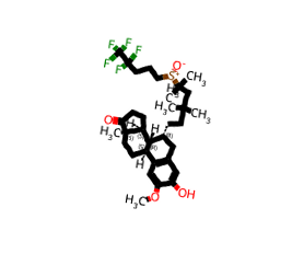 COc1cc2c(cc1O)C[C@@H](CCC(C)(C)CC(C)(C)[S+]([O-])CCCC(F)(F)C(F)(F)F)[C@@H]1[C@@H]2CC[C@]2(C)C(=O)CC[C@@H]12